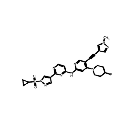 Cn1cc(C#Cc2cnc(Nc3ccnc(-c4cnn(S(=O)(=O)C5CC5)c4)n3)cc2N2CCC(F)CC2)cn1